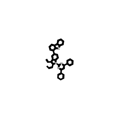 C=Cc1c(/C=C\C)n(-c2nc(C3=CCCC=C3)cc(-c3ccccc3)n2)c2ccc(-c3cccc4c3sc3ccccc34)cc12